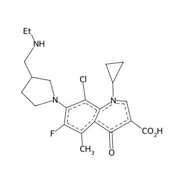 CCNCC1CCN(c2c(F)c(C)c3c(=O)c(C(=O)O)cn(C4CC4)c3c2Cl)C1